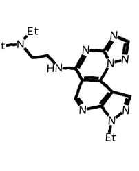 CCN(CC)CCNc1nc2ncnn2c2c1cnc1c2cnn1CC